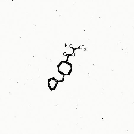 O=C(OC(C(F)(F)F)C(F)(F)F)C1=C/C=C\C(Cc2ccccc2)=C/C=C\1